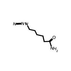 [N-]=[N+]=NCCCCCC(N)=O